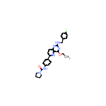 CCOc1nc(NCc2ccc(F)cc2)nc2ccc(-c3ccc(NC(=O)N4CCCC4)cc3)nc12